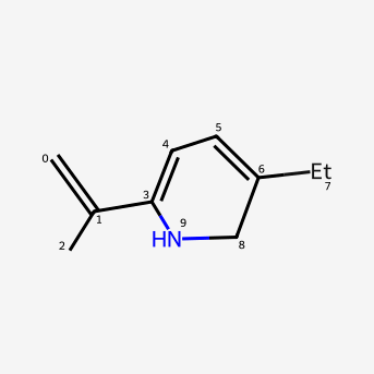 C=C(C)C1=CC=C(CC)CN1